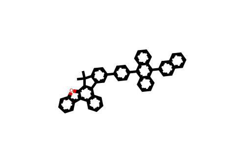 CC1(C)c2ccc(-c3ccc(-c4c5ccccc5c(-c5ccc6ccccc6c5)c5ccccc45)cc3)cc2-c2c1c1oc3ccccc3c1c1ccccc21